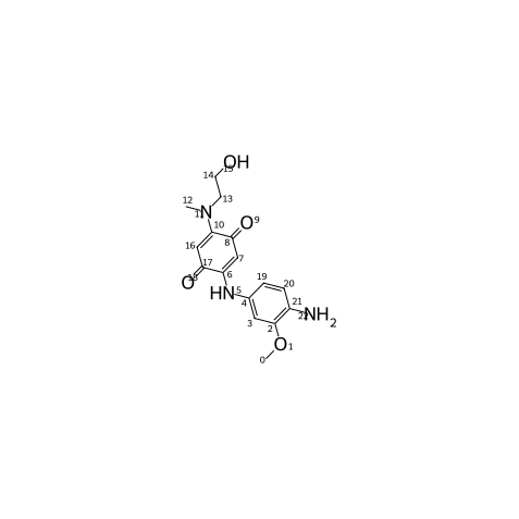 COc1cc(NC2=CC(=O)C(N(C)CCO)=CC2=O)ccc1N